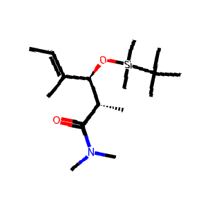 C/C=C(\C)[C@@H](O[Si](C)(C)C(C)(C)C)[C@H](C)C(=O)N(C)C